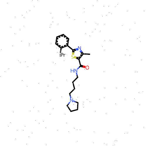 Cc1nc(-c2ccccc2C(C)C)sc1C(=O)NCCCCN1CCCC1